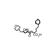 O=C(N[C@@H](CCCc1ccccc1)C(=O)O)c1cc(CN2CCOCC2)on1